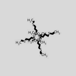 C=CSCCC[Si]1(C)O[Si](C)(CCCSC=C)O[Si](C)(CCCSC=C)O[Si](C)(CCCSC=C)O1